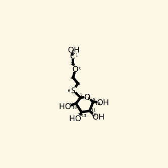 OCCOCCSC1OC(O)C(O)C(O)C1O